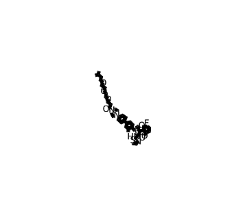 Cc1cc(-c2ccc(N3CCN(C(=O)CCOCCOCCOCCC(C)C)CC3)cc2)ccc1CN(C=O)C(C(=O)Nc1nccs1)c1cc(F)ccc1O